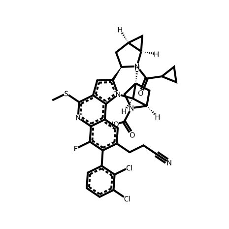 CSc1nc2c(F)c(-c3cccc(Cl)c3Cl)c(CCC#N)cc2c2c1cc([C@H]1C[C@H]3C[C@H]3N1C(=O)C1CC1)n2[C@H]1[C@@H]2C[C@H]1N(C(=O)O)C2